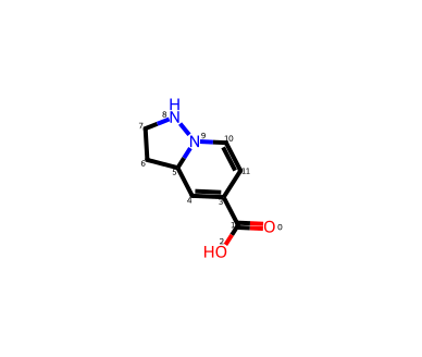 O=C(O)C1=CC2CCNN2C=C1